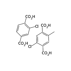 Cc1cc(C(=O)O)c(Cl)cc1C(=O)O.O=C(O)c1ccc(C(=O)O)c(Cl)c1